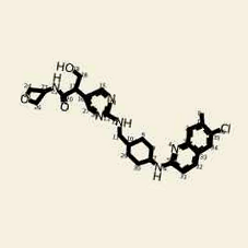 Cc1cc2nc(NC3CCC(CNc4ncc(C(CO)C(=O)NC5COC5)cn4)CC3)ccc2cc1Cl